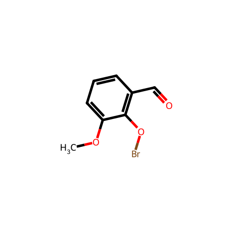 COc1cccc(C=O)c1OBr